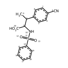 CC(c1ccc(C#N)cc1)C(NS(=O)(=O)c1ccccc1)C(=O)O